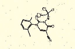 Cc1cccc(C)c1-n1cc(C#N)c(=O)n(SC(Cl)(Cl)Cl)c1=O